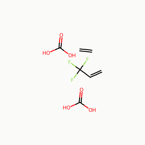 C=C.C=CC(F)(F)F.O=C(O)O.O=C(O)O